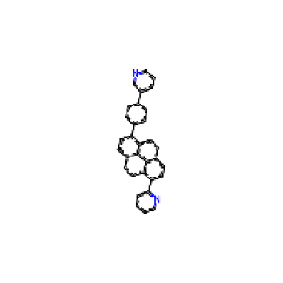 c1ccc(-c2ccc3ccc4c(-c5ccc(-c6cccnc6)cc5)ccc5ccc2c3c54)nc1